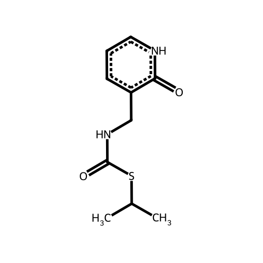 CC(C)SC(=O)NCc1ccc[nH]c1=O